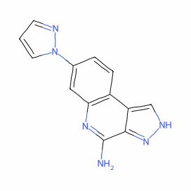 Nc1nc2cc(-n3cccn3)ccc2c2c[nH]nc12